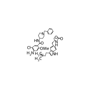 CN(C)CCc1c[nH]c2ccc(C[C@H]3COC(=O)N3)cc12.COc1cc(N)c(Cl)cc1C(=O)NC1CCN(Cc2ccccc2)CC1